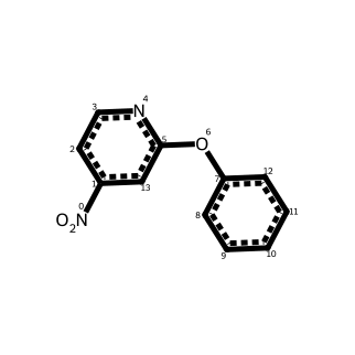 O=[N+]([O-])c1ccnc(Oc2ccccc2)c1